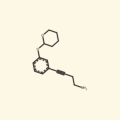 NCCC#Cc1cccc(OC2CCCCO2)c1